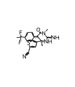 CN1C(=N)N[C@](C)(c2csc(C#N)c2)[C@@H](c2ccc(C(C)(F)F)cc2)C1=O